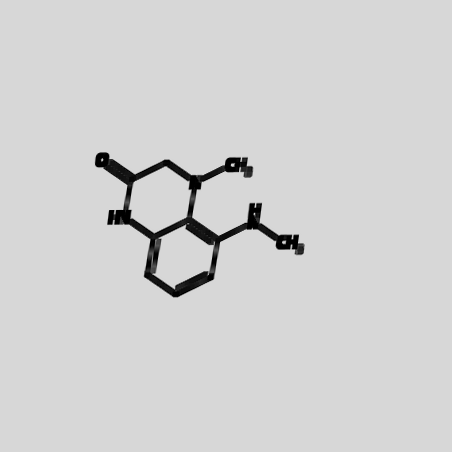 CNc1cccc2c1N(C)CC(=O)N2